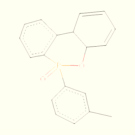 Cc1cccc(P2(=O)OC3C=CC=CC3c3ccccc32)c1